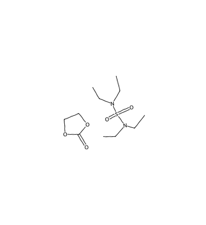 CCN(CC)S(=O)(=O)N(CC)CC.O=C1OCCO1